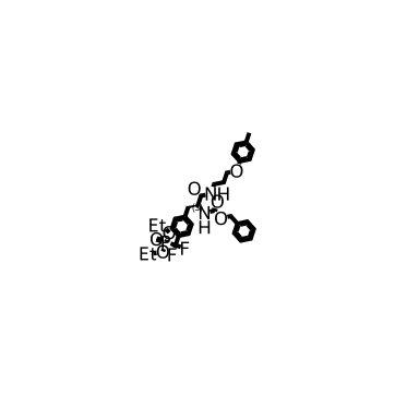 CCOP(=O)(OCC)C(F)(F)c1ccc(C[C@H](NC(=O)OCc2ccccc2)C(=O)NCCCOc2ccc(C)cc2)cc1